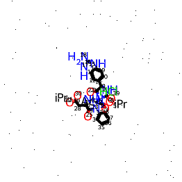 CC(=O)[C@](C(=O)OC(C)C)(N1C(=O)NC(c2ccc(NC(=N)N)cc2)C1=O)N(C(=O)[C@@H](N)CC(=O)OC(C)C)c1ccccc1.Cl